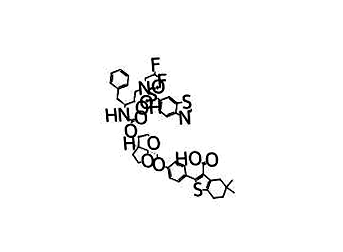 CC1(C)CCc2sc(-c3ccc(OC[C@]45OCC[C@H]4[C@@H](OC(=O)N[C@@H](Cc4ccccc4)[C@H](O)CN(CC(F)F)S(=O)(=O)c4ccc6ncsc6c4)CO5)cc3)c(C(=O)O)c2C1